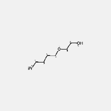 CC(C)CCCCOCCO